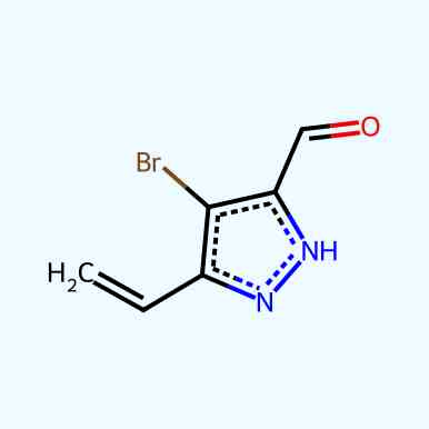 C=Cc1n[nH]c(C=O)c1Br